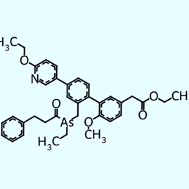 CCOC(=O)Cc1ccc(OC)c(-c2ccc(-c3ccc(OCC)nc3)cc2C[As](CC)C(=O)CCc2ccccc2)c1